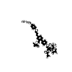 C=C(C)C(=O)OCc1cc(CCCOc2ccc(CCCCCC)cc2)ccc1-c1ccc(OCC(COC(=O)C(=C)C)(COC(=O)C(=C)C)COC(=O)C(=O)CC)cc1